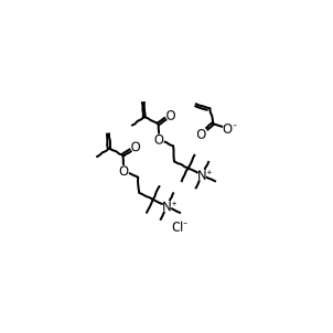 C=C(C)C(=O)OCCC(C)(C)[N+](C)(C)C.C=C(C)C(=O)OCCC(C)(C)[N+](C)(C)C.C=CC(=O)[O-].[Cl-]